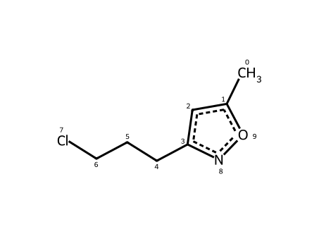 Cc1cc(CCCCl)no1